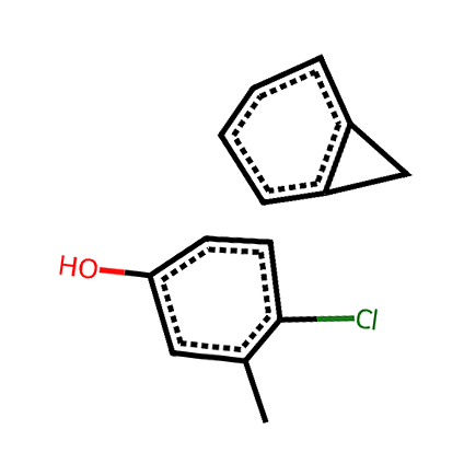 Cc1cc(O)ccc1Cl.c1ccc2c(c1)C2